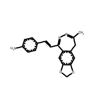 CC1=NN=C(/C=C/c2ccc(N)cc2)c2cc3c(cc2C1)OCO3